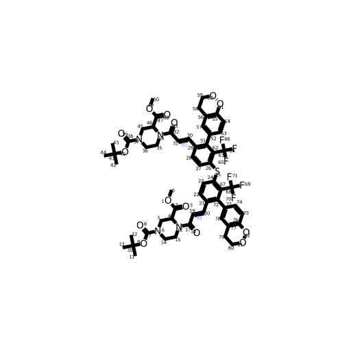 COC(=O)C1CN(C(=O)OC(C)(C)C)CCN1C(=O)/C=C/c1ccc(Sc2ccc(/C=C/C(=O)N3CCN(C(=O)OC(C)(C)C)CC3C(=O)OC)c(-c3ccc4c(c3)CCOO4)c2C(F)(F)F)c(C(F)(F)F)c1-c1ccc2c(c1)CCOO2